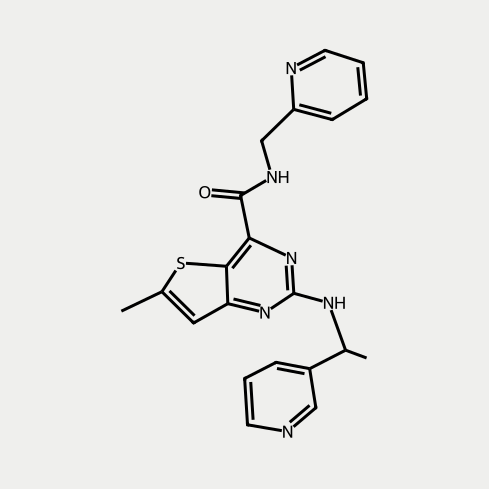 Cc1cc2nc(NC(C)c3cccnc3)nc(C(=O)NCc3ccccn3)c2s1